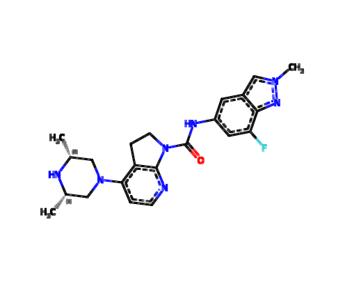 C[C@@H]1CN(c2ccnc3c2CCN3C(=O)Nc2cc(F)c3nn(C)cc3c2)C[C@H](C)N1